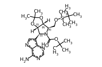 CC(C)(C)OC(=O)N1[C@H](CO[Si](C)(C)C(C)(C)C)[C@H]2OC(C)(C)O[C@H]2[C@@H]1c1cnc2c(N)nc[nH]c1-2